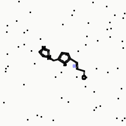 [O]C/C=C/c1ccc(Cn2ccnc2)s1